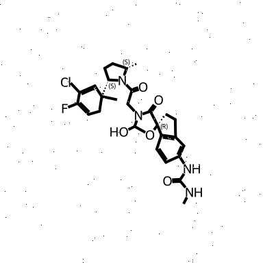 CNC(=O)Nc1ccc2c(c1)CC[C@@]21OC(O)N(CC(=O)N2[C@H](C3(C)C=C(Cl)C(F)=CC3)CC[C@@H]2C)C1=O